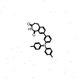 Cc1ccc(N(c2ccc(C)cc2)c2cccc(-c3ccc4c(c3)C(=O)NC(=O)CC4)c2)cc1